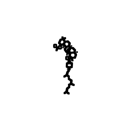 CC(=O)OC1CCC(C)(C)C2CC[C@]3(C)C(CC=C4[C@@H]5CC(C)(C(=O)N6CCN(CC=C(C)CCC=C(C)CCC=C(C)C)CC6)CC[C@]5(C)CC[C@]43C)[C@@]12C